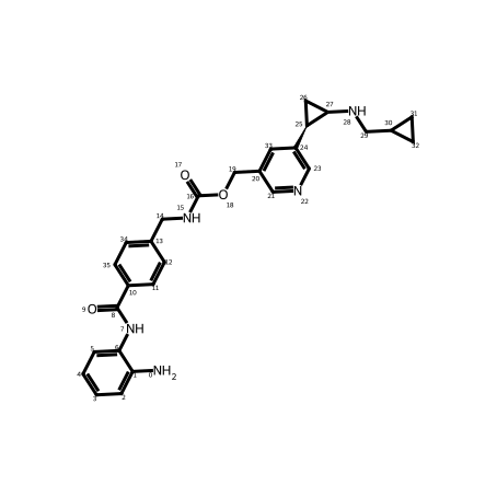 Nc1ccccc1NC(=O)c1ccc(CNC(=O)OCc2cncc([C@H]3CC3NCC3CC3)c2)cc1